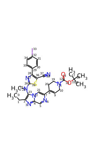 CCc1nc2cnc(C3=CCN(C(=O)OC(C)(C)C)CC3)cn2c1N(C)c1nc(-c2ccc(I)cc2)c(C#N)s1